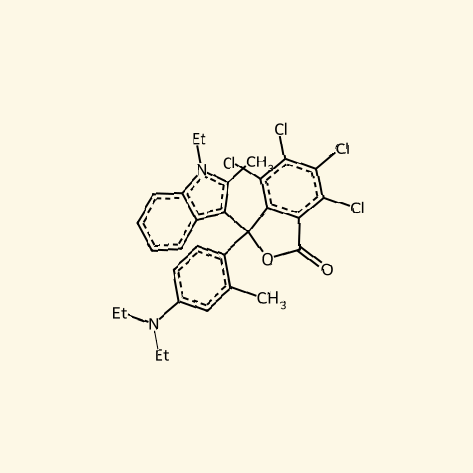 CCN(CC)c1ccc(C2(c3c(C)n(CC)c4ccccc34)OC(=O)c3c(Cl)c(Cl)c(Cl)c(Cl)c32)c(C)c1